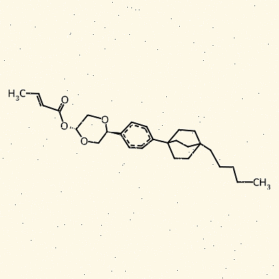 CC=CC(=O)O[C@@H]1CO[C@@H](c2ccc(C34CCC(CCCCC)(CC3)CC4)cc2)CO1